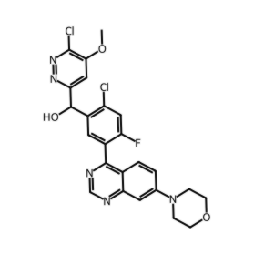 COc1cc(C(O)c2cc(-c3ncnc4cc(N5CCOCC5)ccc34)c(F)cc2Cl)nnc1Cl